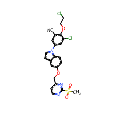 CS(=O)(=O)c1nccc(COc2ccc3c(ccn3-c3cc(Cl)c(OCCCl)c(C#N)c3)c2)n1